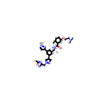 CCn1ccc(-c2cc(-c3cnn(Cc4noc(C)n4)c3)cc([C@@H](C)NC(=O)c3cc(OCCN(C)C)ccc3C)c2)n1